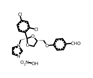 O=Cc1ccc(OC[C@@H]2CO[C@@](Cn3ccnc3)(c3ccc(Cl)cc3Cl)O2)cc1.O=[N+]([O-])O